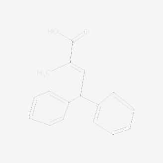 CC(=CC(c1ccccc1)c1ccccc1)C(=O)O